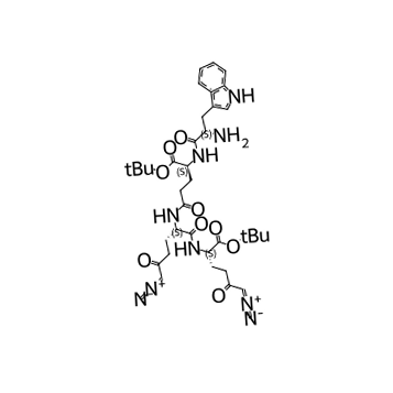 CC(C)(C)OC(=O)[C@H](CCC(=O)C=[N+]=[N-])NC(=O)[C@H](CCC(=O)C=[N+]=[N-])NC(=O)CC[C@H](NC(=O)[C@@H](N)Cc1c[nH]c2ccccc12)C(=O)OC(C)(C)C